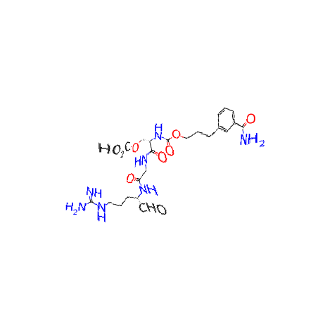 N=C(N)NCCC[C@@H](C=O)NC(=O)CNC(=O)[C@H](COC(=O)O)NC(=O)OCCCc1cccc(C(N)=O)c1